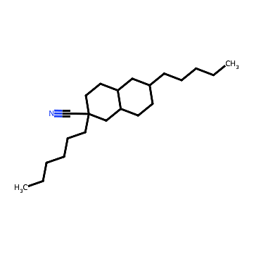 CCCCCCC1(C#N)CCC2CC(CCCCC)CCC2C1